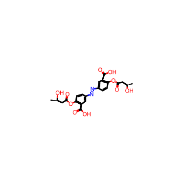 C[C@@H](O)CC(=O)Oc1ccc(/N=N/c2ccc(OC(=O)C[C@@H](C)O)c(C(=O)O)c2)cc1C(=O)O